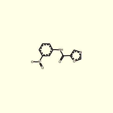 O=C(Nc1cccc([N+](=O)[O-])c1)c1cnco1